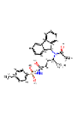 COC(=O)N(C1c2ccccc2-c2ccccc21)[C@H](CCC(=O)NS(=O)(=O)c1ccc(C)cc1)C(=O)O